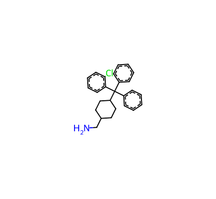 NCC1CCC(C(c2ccccc2)(c2ccccc2)c2ccccc2Cl)CC1